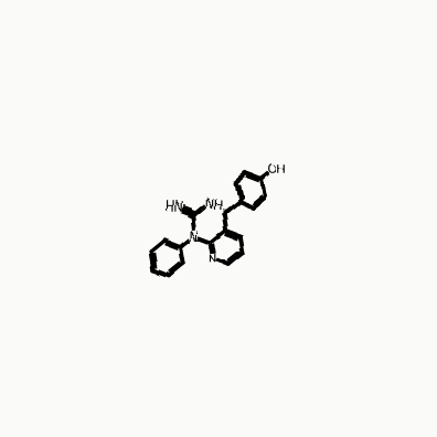 N=C(N)N(c1ccccc1)c1ncccc1Cc1ccc(O)cc1